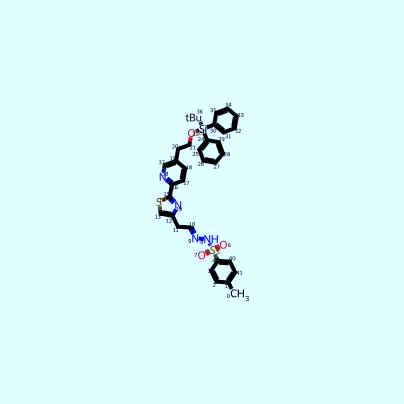 Cc1ccc(S(=O)(=O)NN=CCc2csc(-c3ccc(CCO[Si](c4ccccc4)(c4ccccc4)C(C)(C)C)cn3)n2)cc1